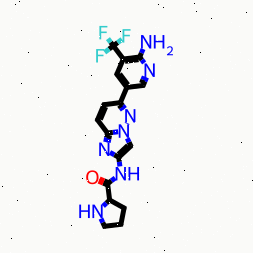 Nc1ncc(-c2ccc3nc(NC(=O)C4CCCN4)cn3n2)cc1C(F)(F)F